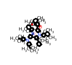 Cc1ccccc1-c1cc2c3c(c1)N(c1cc4c(cc1C)C(C)(C)CCC4(C)C)c1cc4oc5cc6c(cc5c4cc1B3N(c1ccc3c(c1)C(C)(C)CCC3(C)C)c1ccc(N(c3ccc(C(C)(C)C)cc3)c3ccc(C(C)(C)C)cc3)cc1-2)C(C)(C)CCC6(C)C